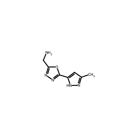 Cc1cc(-c2nnc(CN)o2)[nH]n1